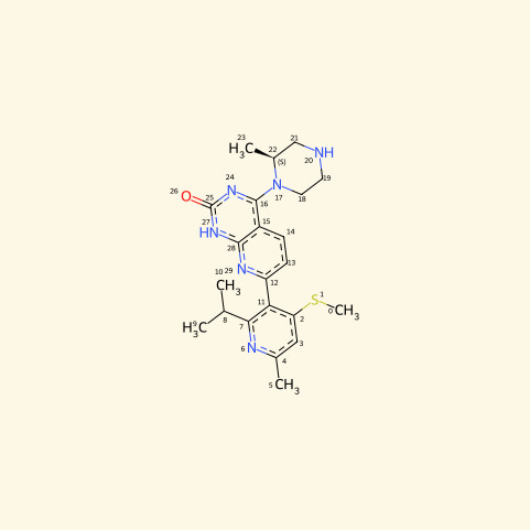 CSc1cc(C)nc(C(C)C)c1-c1ccc2c(N3CCNC[C@@H]3C)nc(=O)[nH]c2n1